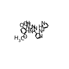 COc1ccc(OC)c(Nc2nnc(-c3cccnc3NCc3cccnc3)[nH]2)c1